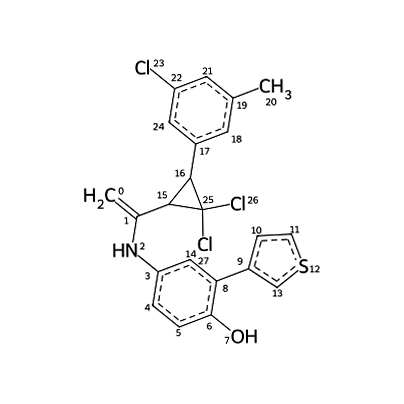 C=C(Nc1ccc(O)c(-c2ccsc2)c1)C1C(c2cc(C)cc(Cl)c2)C1(Cl)Cl